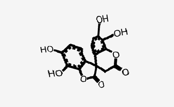 O=C1CC2(C(=O)Oc3c2ccc(O)c3O)c2ccc(O)c(O)c2O1